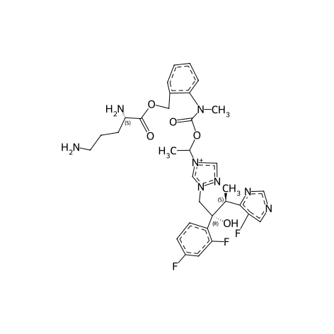 CC(OC(=O)N(C)c1ccccc1COC(=O)[C@@H](N)CCCN)[n+]1cnn(C[C@](O)(c2ccc(F)cc2F)[C@@H](C)c2ncncc2F)c1